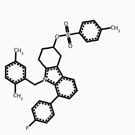 Cc1ccc(S(=O)(=O)OC2CCc3c(c4cccc(-c5ccc(F)cc5)c4n3Cc3cc(C)ccc3C)C2)cc1